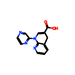 O=C(O)C1=CN(c2cnccn2)c2ncccc2C1